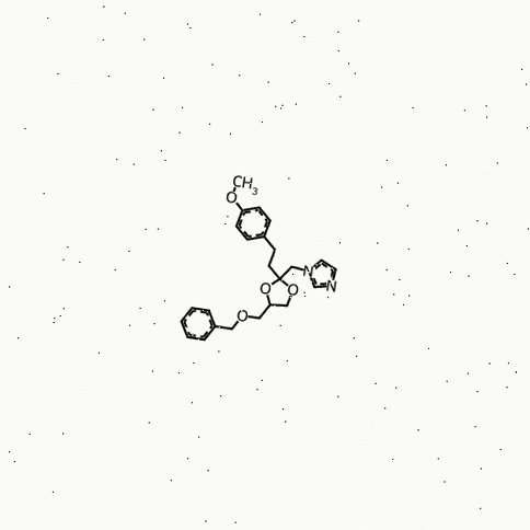 COc1ccc(CCC2(Cn3ccnc3)OCC(COCc3ccccc3)O2)cc1